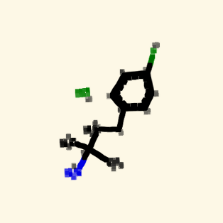 CC(C)(N)[SiH2]Cc1ccc(F)cc1.Cl